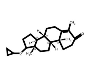 CC1=C2CC[C@@H]3[C@@H](CC[C@]4(C)C(OC5CC5)CC[C@@H]34)[C@@]2(C)CCC1=O